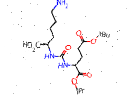 CC(C)OC(=O)C(CCC(=O)OC(C)(C)C)NC(=O)NC(CCCCN)C(=O)O